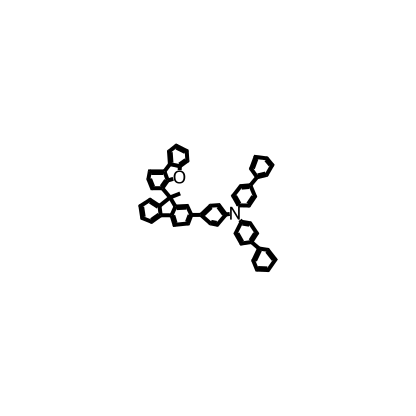 CC1(c2cccc3c2oc2ccccc23)c2ccccc2-c2ccc(-c3ccc(N(c4ccc(-c5ccccc5)cc4)c4ccc(-c5ccccc5)cc4)cc3)cc21